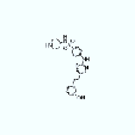 O=S(=O)(NC1CCNCC1)c1ccc(Nc2ncc(C=Cc3cccc(O)c3)cn2)cc1